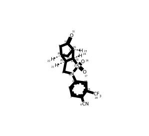 N#Cc1ccc(N2C[C@H]3[C@H]4CC(=O)[C@H](C4)[C@H]3S2(=O)=O)cc1C(F)(F)F